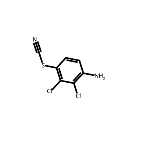 N#CSc1ccc(N)c(Cl)c1Cl